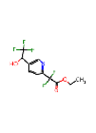 CCOC(=O)C(F)(F)c1ccc(C(O)C(F)(F)F)cn1